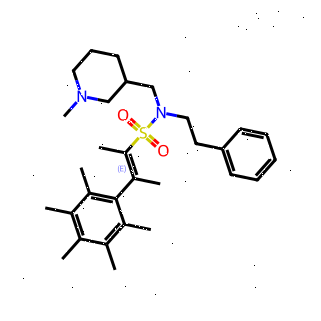 C/C(=C(/C)S(=O)(=O)N(CCc1ccccc1)CC1CCCN(C)C1)c1c(C)c(C)c(C)c(C)c1C